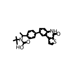 CC(c1ccc(-c2ccc3[nH]c(=O)c4sccc4c3c2)cc1)N(C(=O)O)C(C)(C)C